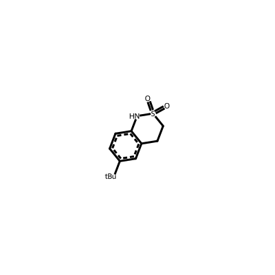 CC(C)(C)c1ccc2c(c1)CCS(=O)(=O)N2